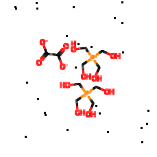 O=C([O-])C(=O)[O-].OC[P+](CO)(CO)CO.OC[P+](CO)(CO)CO